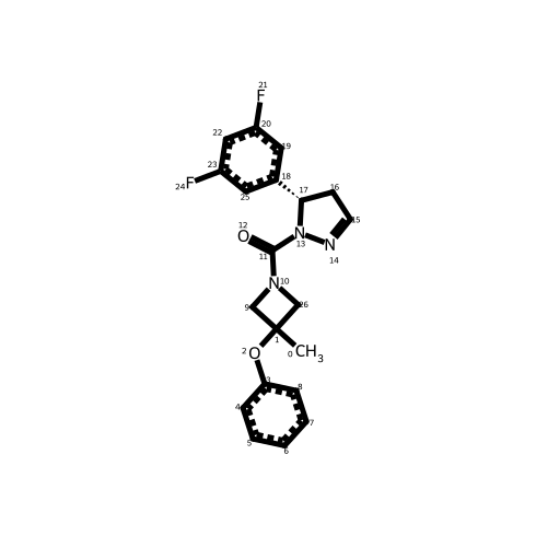 CC1(Oc2ccccc2)CN(C(=O)N2N=CC[C@H]2c2cc(F)cc(F)c2)C1